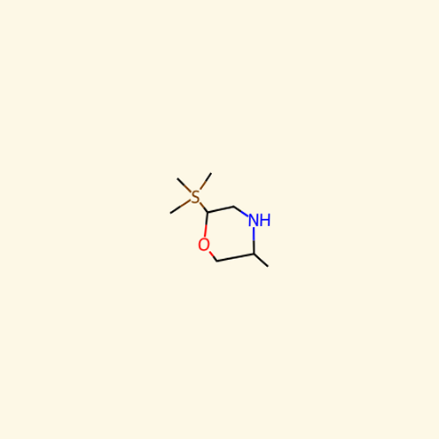 CC1COC(S(C)(C)C)CN1